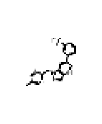 Cc1cnc(Cn2ncc3ncc(-c4cccc(C(F)(F)F)c4)cc32)nc1